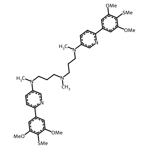 COc1cc(-c2ccc(N(C)CCCN(C)CCCN(C)c3ccc(-c4cc(OC)c(SC)c(OC)c4)nc3)cn2)cc(OC)c1SC